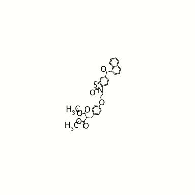 COC(=O)C(Cc1ccc(OCCn2c(=O)sc3cc(C(=O)c4cccc5ccccc45)ccc32)cc1)C(=O)OC